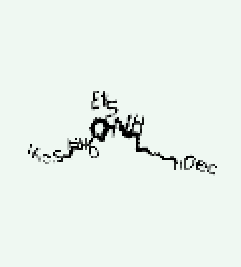 CCCCCCCCCCCCCCCCCCNc1cc(C(=O)NCCCSC)ccc1SCC